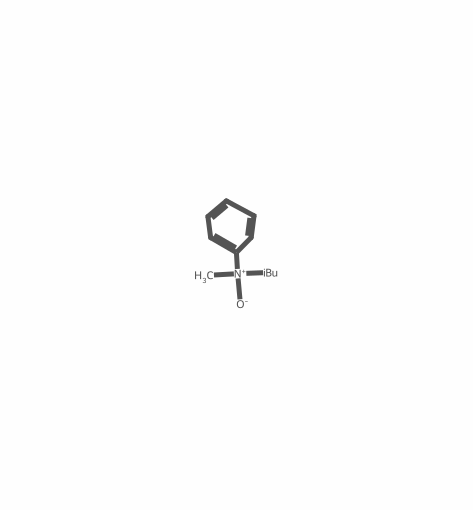 CCC(C)[N+](C)([O-])c1ccccc1